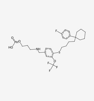 O=[PH](O)OCCCNCc1ccc(SCCCCC2(c3ccc(F)cc3)CCCCC2)c(OC(F)(F)F)c1